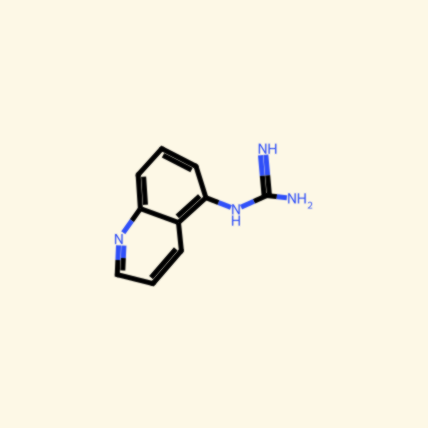 N=C(N)Nc1cccc2ncccc12